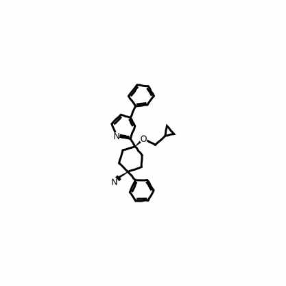 N#C[C@]1(c2ccccc2)CC[C@@](OCC2CC2)(c2cc(-c3ccccc3)ccn2)CC1